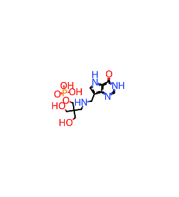 O=c1[nH]cnc2c(CNCC(CO)(CO)COP(=O)(O)O)c[nH]c12